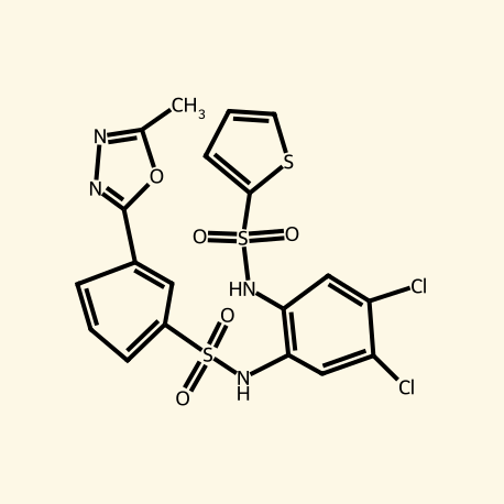 Cc1nnc(-c2cccc(S(=O)(=O)Nc3cc(Cl)c(Cl)cc3NS(=O)(=O)c3cccs3)c2)o1